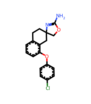 NC1=NC2(CCc3cccc(Oc4ccc(Cl)cc4)c3C2)CO1